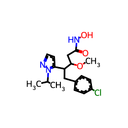 COC(CC(=O)NO)C(Cc1ccc(Cl)cc1)c1ccnn1C(C)C